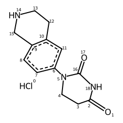 Cl.O=C1CCN(c2ccc3c(c2)CCNC3)C(=O)N1